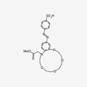 COC(=O)CN1CCOCCOCCOCCOc2cc(/N=N/c3ccc(S(=O)(=O)O)cc3)ccc21